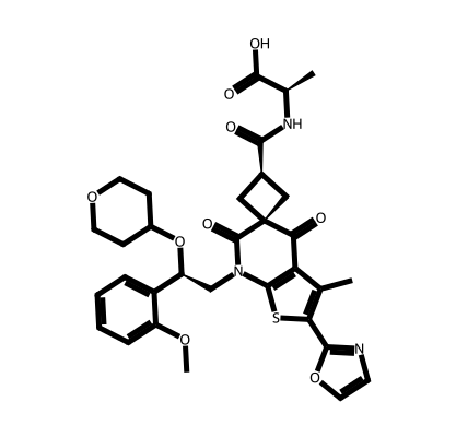 COc1ccccc1[C@H](CN1c2sc(-c3ncco3)c(C)c2C(=O)[C@]2(C[C@H](C(=O)N[C@H](C)C(=O)O)C2)C1=O)OC1CCOCC1